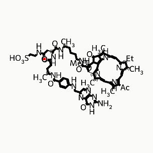 CC[C@H]1c2cc3[nH]c4c(c3C)C(=O)C(C(=O)OC)c4c3nc(cc4[nH]c(cc(n2)[C@@H]1C)c(C(C)=O)c4C)[C@@H](C)[C@@H]3CCC(=O)NCCCC[C@@H](C)NC(=O)[C@H](CC(=O)NCCS(=O)(=O)O)NC(=O)CC[C@@H](C)NC(=O)c1ccc(NCc2cnc3nc(N)[nH]c(=O)c3n2)cc1